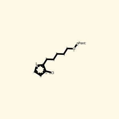 [CH2]CCCCOCCCCCc1sccc1Cl